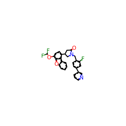 O=C1CC(c2ccc(OC(F)F)c3oc4ccccc4c23)CN1Cc1ccc(-c2cccnc2)cc1F